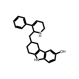 Oc1ccc2[nH]c3c(c2c1)CC(CC1NCCC=C1c1ccccc1)CC3